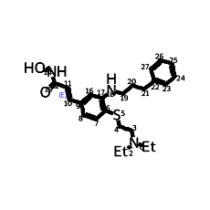 CCN(CC)CCSc1ccc(/C=C/C(=O)NO)cc1NCCCc1ccccc1